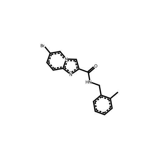 Cc1ccccc1CNC(=O)c1cn2cc(Br)ccc2n1